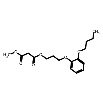 CCCCOc1ccccc1OCCCOC(=O)CC(=O)OC